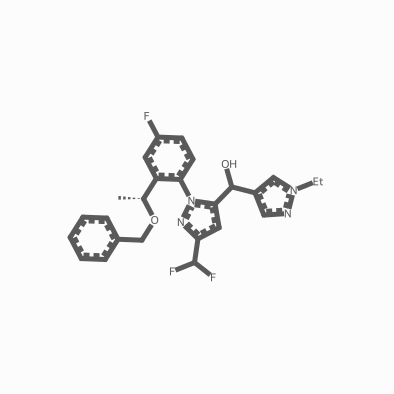 CCn1cc(C(O)c2cc(C(F)F)nn2-c2ccc(F)cc2[C@@H](C)OCc2ccccc2)cn1